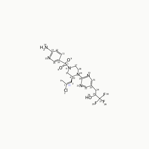 C/C(Cl)=C\[C@H]1CN(S(=O)(=O)c2ccc(N)nc2)CCN1c1ncc(CC(O)C(F)(F)F)cn1